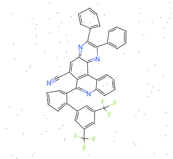 N#Cc1cc2nc(-c3ccccc3)c(-c3ccccc3)nc2c2c1c(-c1ccccc1-c1cc(C(F)(F)F)cc(C(F)(F)F)c1)nc1ccccc12